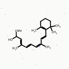 COC(O)C=C(C)C=C/C=C(/C)C=CC1=C(C)CCCC1(C)C